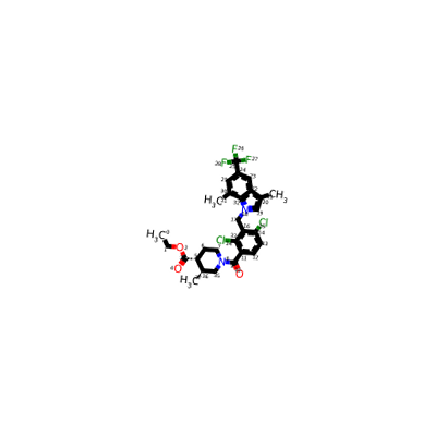 CCOC(=O)[C@@H]1CCN(C(=O)c2ccc(Cl)c(Cn3cc(C)c4cc(C(F)(F)F)cc(C)c43)c2Cl)C[C@@H]1C